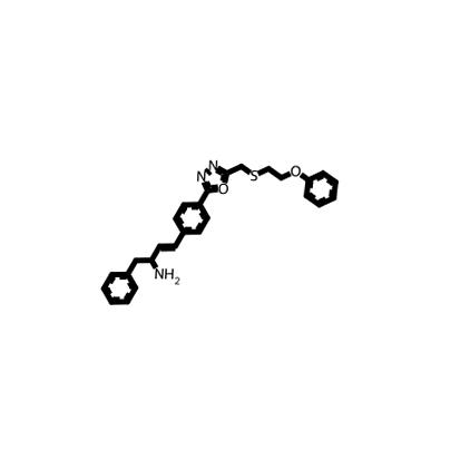 NC(/C=C/c1ccc(-c2nnc(CSCCOc3ccccc3)o2)cc1)Cc1ccccc1